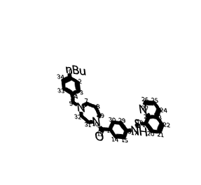 CCCCc1ccc(CN2CCCN(C(=O)C3C=CC(NSc4cccc5cccnc45)=CC3)CC2)cc1